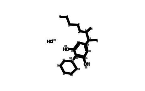 CCCCCC(C)C(C)c1cc(O)c(N2CCCCC2)c(O)c1.Cl